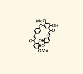 COc1ccc(C(=O)/C=C/c2ccc(Oc3cc(C(=O)/C=C/c4ccc(O)cc4)c(O)cc3OC)cc2)c(O)c1